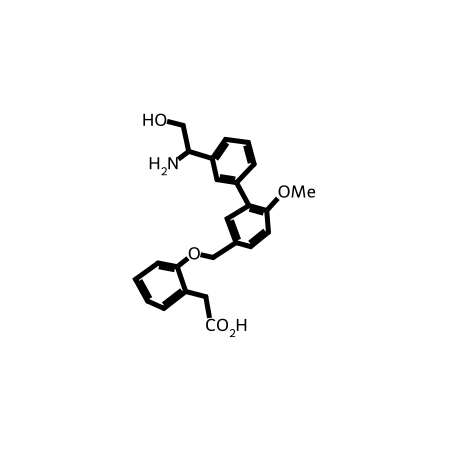 COc1ccc(COc2ccccc2CC(=O)O)cc1-c1cccc(C(N)CO)c1